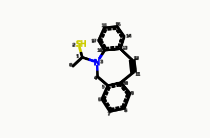 CC(S)N1Cc2ccccc2C#Cc2ccccc21